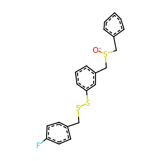 [O-][S+](Cc1ccccc1)Cc1cccc(SSCc2ccc(F)cc2)c1